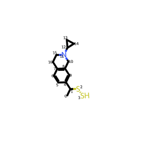 CC(SS)c1ccc2c(c1)CN(C1CC1)CC2